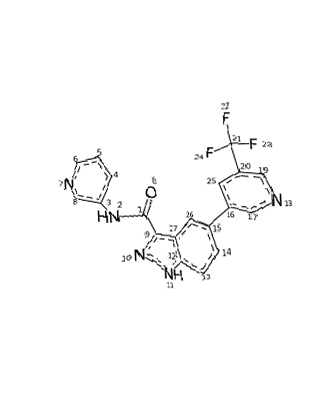 O=C(Nc1cccnc1)c1n[nH]c2ccc(-c3cncc(C(F)(F)F)c3)cc12